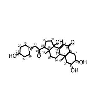 CC12C[C@H](O)C(O)CC1C(=O)C=C1C2CCC2(C)C(C(=O)CN3CCC(O)CC3)CCC12O